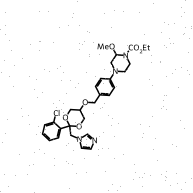 CCOC(=O)N1CCN(c2ccc(COC3COC(Cn4ccnc4)(c4ccccc4Cl)OC3)cc2)CC1OC